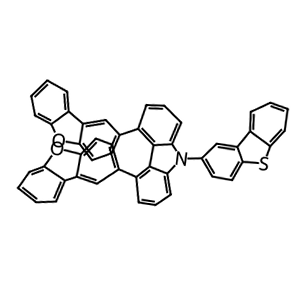 c1ccc2c(c1)oc1ccc(-c3cccc4c3c3c(-c5ccc6oc7ccccc7c6c5)cccc3n4-c3ccc4sc5ccccc5c4c3)cc12